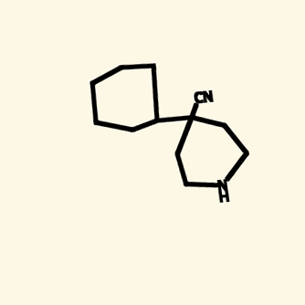 N#CC1(C2CCCCC2)CCNCC1